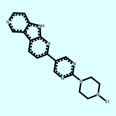 CCN1CCN(c2ncc(-c3ccc4c(n3)[nH]c3ccncc34)cn2)CC1